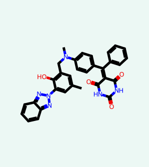 Cc1cc(CN(C)c2ccc(C(=C3C(=O)NC(=O)NC3=O)c3ccccc3)cc2)c(O)c(-n2nc3ccccc3n2)c1